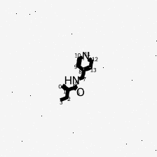 C=C(CC)C(=O)NCc1ccncc1